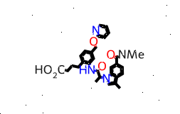 CNC(=O)c1ccc2c(C)cn(C(C)C(=O)Nc3cc(COc4ccccn4)ccc3CCCC(=O)O)c2c1